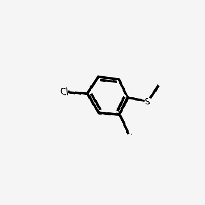 [CH2]c1cc(Cl)ccc1SC